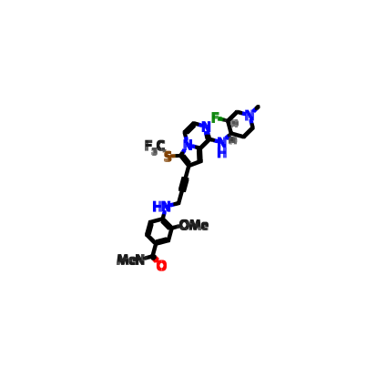 CNC(=O)c1ccc(NCC#Cc2cc3c(N[C@@H]4CCN(C)C[C@@H]4F)nccn3c2SC(F)(F)F)c(OC)c1